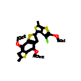 CCCCCCCCOc1sc2c(C)sc(-c3cc4c(OCCCCCCCC)c5sc(C)cc5c(OCCCCCCCC)c4s3)c2c1F